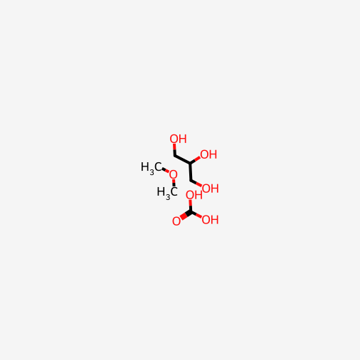 COC.O=C(O)O.OCC(O)CO